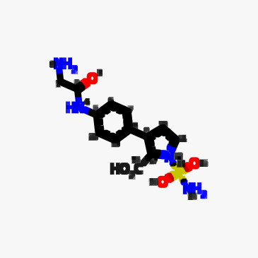 NCC(=O)Nc1ccc(-c2ccn(S(N)(=O)=O)c2C(=O)O)cc1